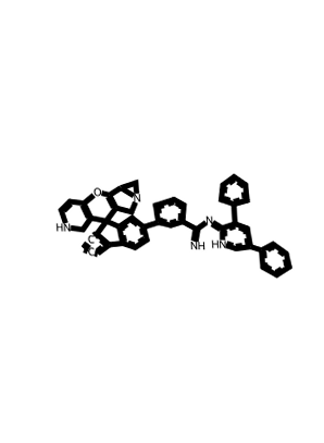 N=C(/N=c1\[nH]cc(-c2ccccc2)cc1-c1ccccc1)c1cccc(-c2ccc3c(c2)C2(C4=C(C=CNC4)OC4=C2CN2CC42)c2ccccc2-3)c1